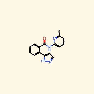 Cc1cccc(NC(=O)c2ccccc2-c2ccn[nH]2)n1